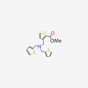 COC(=O)c1sccc1CN(Cc1cccs1)Cc1cccs1